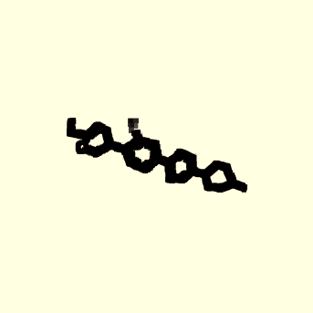 CCC1=CCC(c2ccc(-c3ccc(C4CCC(C)CC4)cc3)cc2F)CO1